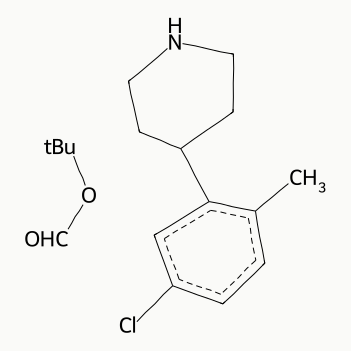 CC(C)(C)OC=O.Cc1ccc(Cl)cc1C1CCNCC1